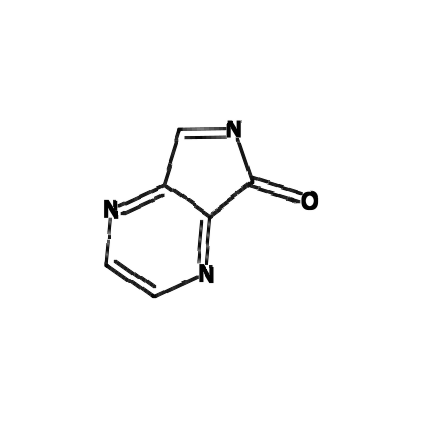 O=C1N=Cc2nccnc21